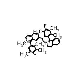 Cc1cc(-c2c3cc(CC[n+]4ccc5ccccc5c4-c4cc(C)c(F)c(C)c4C)ccc3cc[n+]2C)c(C)c(C)c1F